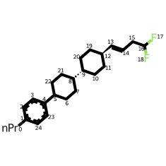 CCCc1ccc(C2CCC([C@H]3CC[C@H](/C=C/CC(F)F)CC3)CC2)cc1